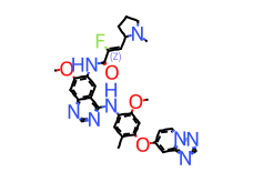 COc1cc2ncnc(Nc3cc(C)c(Oc4ccn5ncnc5c4)cc3OC)c2cc1NC(=O)/C(F)=C/C1CCCN1C